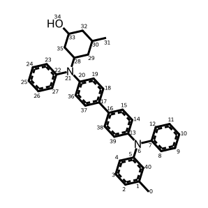 Cc1cccc(N(c2ccccc2)c2ccc(-c3ccc(N(c4ccccc4)C4CC(C)CC(O)C4)cc3)cc2)c1